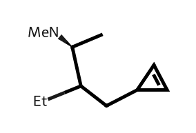 CCC(CC1C=C1)[C@H](C)NC